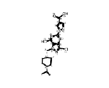 CC(C)[C@H]1CC[C@H](Cn2nc(Cl)c3nc(-n4cc(C(=O)O)cn4)nc(O)c32)CC1